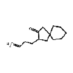 C=CCCC1CC2(CCCCC2)CC1=O